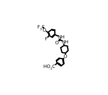 O=C(Nc1ccc(OC(F)(F)F)c(F)c1)NC1CCC(Oc2ccc(C(=O)O)cc2)CC1